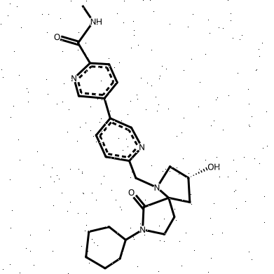 CNC(=O)c1ccc(-c2ccc(CN3C[C@H](O)CC34CCN(C3CCCCC3)C4=O)nc2)cn1